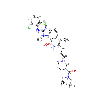 CCN(CC)C(=O)C1CCCN(C=CCc2[nH]c(=O)c3c(ccc4nc(Nc5c(Cl)cccc5Cl)n(C)c43)c2C)C1